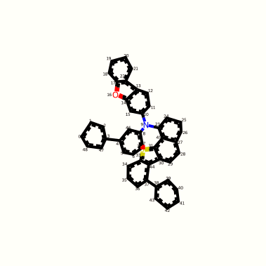 c1ccc(-c2cccc(N(c3ccc4c(c3)oc3ccccc34)c3cccc4ccc5c(sc6cccc(-c7ccccc7)c65)c34)c2)cc1